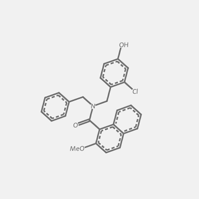 COc1ccc2ccccc2c1C(=O)N(Cc1ccccc1)Cc1ccc(O)cc1Cl